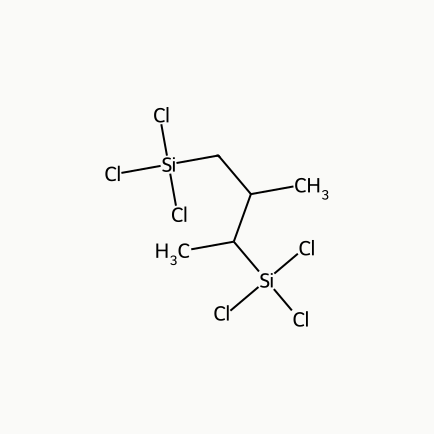 CC(C[Si](Cl)(Cl)Cl)C(C)[Si](Cl)(Cl)Cl